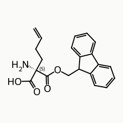 C=CCC[C@](N)(C(=O)O)C(=O)OCC1c2ccccc2-c2ccccc21